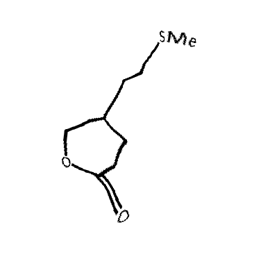 CSCCC1COC(=O)C1